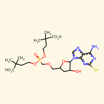 CC(C)(CCOP(=O)(COCC1CC(O)C(n2cnc3c(N)nc(S)nc32)O1)OCCC(C)(C)C(=O)O)C(=O)O